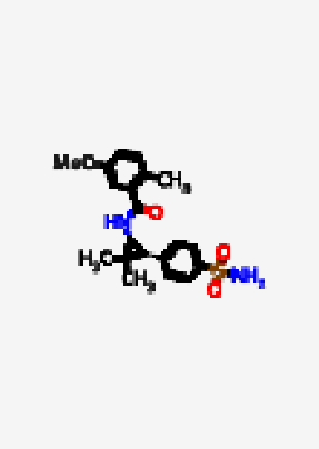 COc1ccc(C)c(C(=O)N[C@H]2[C@H](c3ccc(S(N)(=O)=O)cc3)C2(C)C)c1